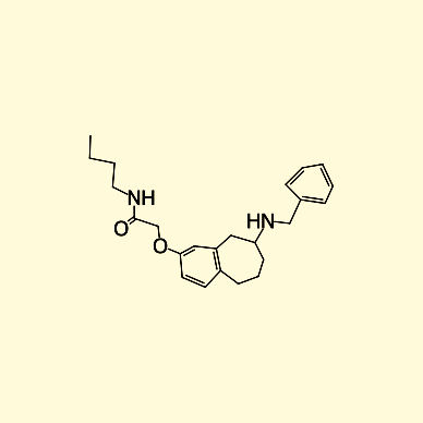 CCCCNC(=O)COc1ccc2c(c1)CC(NCc1ccccc1)CCC2